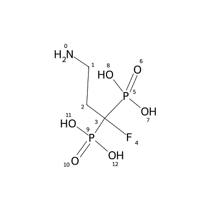 NCCC(F)(P(=O)(O)O)P(=O)(O)O